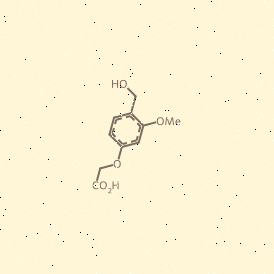 COc1cc(OCC(=O)O)ccc1CO